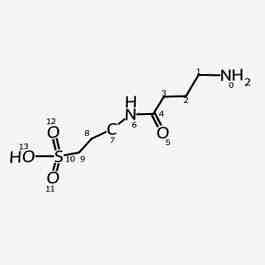 NCCCC(=O)NCCCS(=O)(=O)O